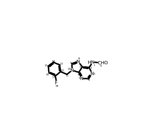 O=CNc1ncnc2c1ncn2Cc1ccccc1F